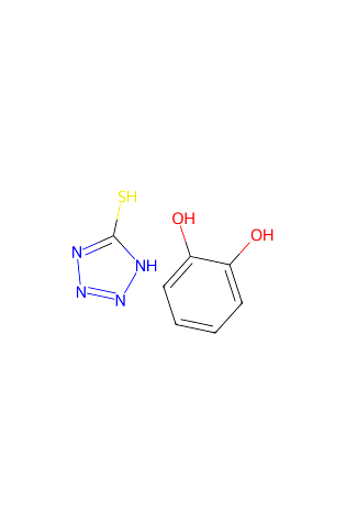 Oc1ccccc1O.Sc1nnn[nH]1